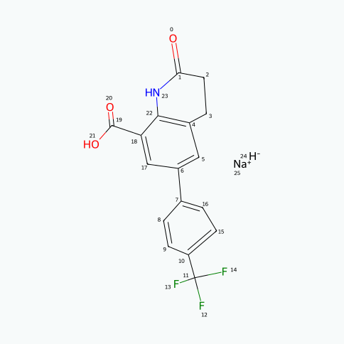 O=C1CCc2cc(-c3ccc(C(F)(F)F)cc3)cc(C(=O)O)c2N1.[H-].[Na+]